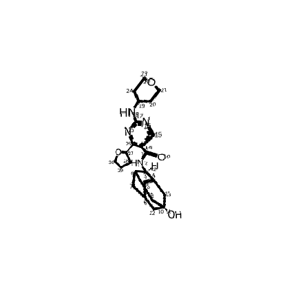 O=C(N[C@H]1C2CC3CC1C[C@@](O)(C3)C2)c1cnc(NC2CCOCC2)nc1[C@H]1CCCO1